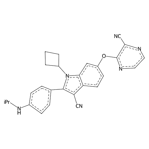 CC(C)Nc1ccc(-c2c(C#N)c3ccc(Oc4nccnc4C#N)cc3n2C2CCC2)cc1